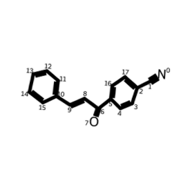 N#Cc1ccc(C(=O)C=Cc2ccccc2)cc1